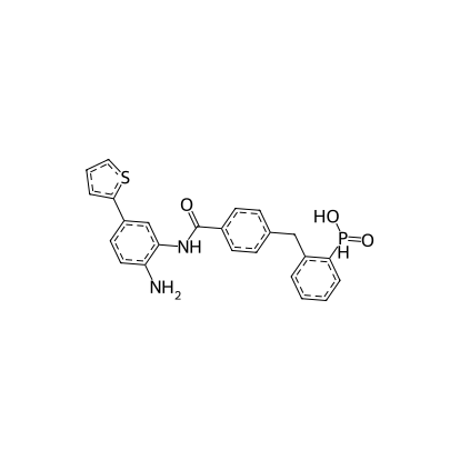 Nc1ccc(-c2cccs2)cc1NC(=O)c1ccc(Cc2ccccc2[PH](=O)O)cc1